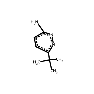 CC(C)(C)c1ccc(N)nn1